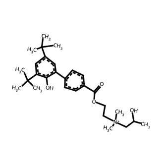 CC(O)C[N+](C)(C)CCOC(=O)c1ccc(-c2cc(C(C)(C)C)cc(C(C)(C)C)c2O)cc1